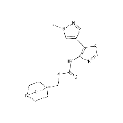 Cn1cc(-c2scnc2NC(=O)OCC23CCN(CC2)CC3)cn1